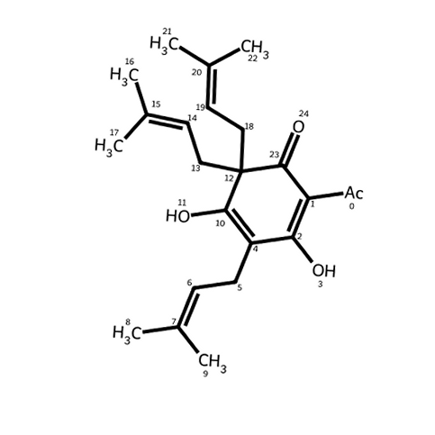 CC(=O)C1=C(O)C(CC=C(C)C)=C(O)C(CC=C(C)C)(CC=C(C)C)C1=O